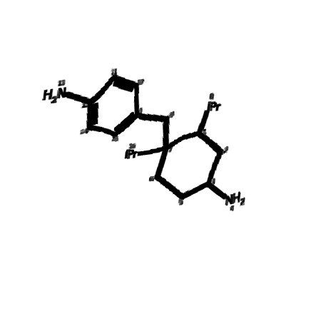 CC(C)C1CC(N)CCC1(Cc1ccc(N)cc1)C(C)C